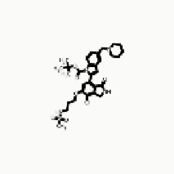 CC(C)(C)OC(=O)n1c(-c2cc(OCCCNS(C)(=O)=O)c(Cl)c3c2C(=O)NC3)cc2cc(CN3CCCCC3)ccc21